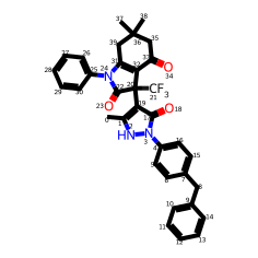 Cc1[nH]n(-c2ccc(Cc3ccccc3)cc2)c(=O)c1C1(C(F)(F)F)C(=O)N(c2ccccc2)C2=C1C(=O)CC(C)(C)C2